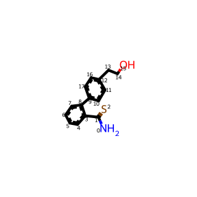 NC(=S)c1ccccc1-c1ccc(CCO)cc1